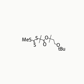 CSC(=S)SC(C)(C)C(=O)OC(C)(C)CCOC(C)(C)C